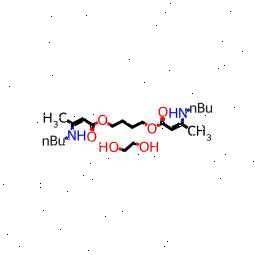 CCCCN/C(C)=C\C(=O)OCCCCOC(=O)/C=C(/C)NCCCC.OCCO